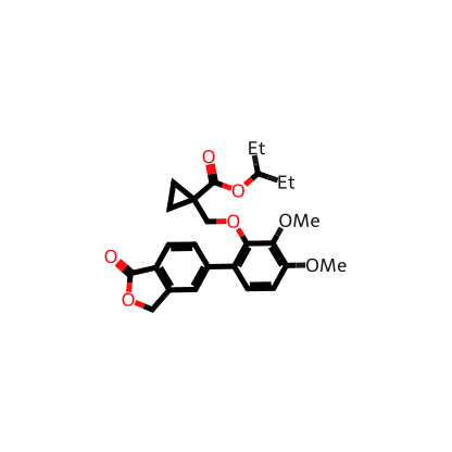 CCC(CC)OC(=O)C1(COc2c(-c3ccc4c(c3)COC4=O)ccc(OC)c2OC)CC1